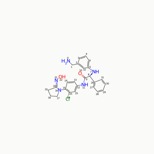 NCc1cccc(N[C@H](C(=O)Nc2ccc(N3CCC/C3=N/O)c(Cl)c2)c2ccccc2)c1